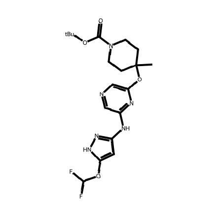 CC(C)(C)OC(=O)N1CCC(C)(Oc2cncc(Nc3cc(OC(F)F)[nH]n3)n2)CC1